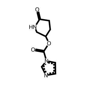 O=C1CCC(OC(=O)n2ccnc2)CN1